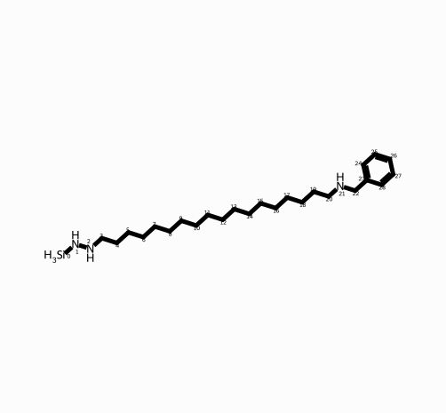 [SiH3]NNCCCCCCCCCCCCCCCCCCNCc1ccccc1